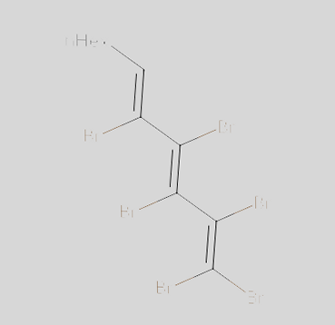 CCCCCC/C=C(Br)/C(Br)=C(\Br)C(Br)=C(Br)Br